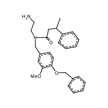 COc1cc(CN(CCN)C(=O)CC(C)c2ccccc2)ccc1OCc1ccccc1